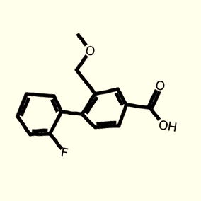 COCc1cc(C(=O)O)ccc1-c1ccccc1F